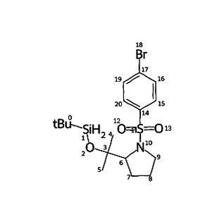 CC(C)(C)[SiH2]OC(C)(C)C1CCCN1S(=O)(=O)c1ccc(Br)cc1